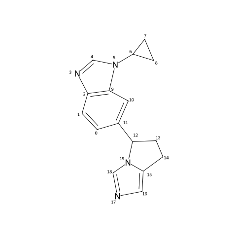 c1cc2ncn(C3CC3)c2cc1C1CCc2cncn21